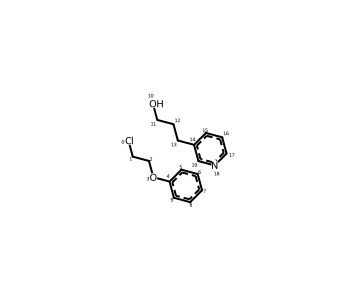 ClCCOc1ccccc1.OCCCc1cccnc1